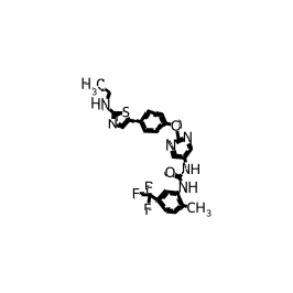 CCNc1ncc(-c2ccc(Oc3ncc(NC(=O)Nc4cc(C(F)(F)F)ccc4C)cn3)cc2)s1